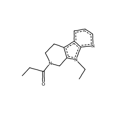 CCC(=O)N1CCc2c(n(CC)c3ncccc23)C1